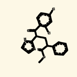 COC(=S)C(CC(C(=O)c1ccc(Cl)cc1Cl)c1ncc[nH]1)c1ccccc1